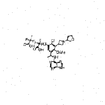 COc1c(C(C)Nc2ncnc3[nH]cnc23)cc(Cl)c(Cl)c1C1CN(C2CCOC2)C1.O=C(O)C(F)(F)F.O=C(O)C(F)(F)F